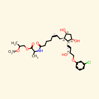 CC(COC(=O)C(C)NC(=O)CCC/C=C\C[C@@H]1[C@@H](/C=C/[C@@H](O)COc2cccc(Cl)c2)[C@H](O)C[C@@H]1O)O[N+](=O)[O-]